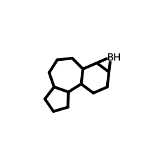 B1C2CCC3C4CCCC4CCCC3C12